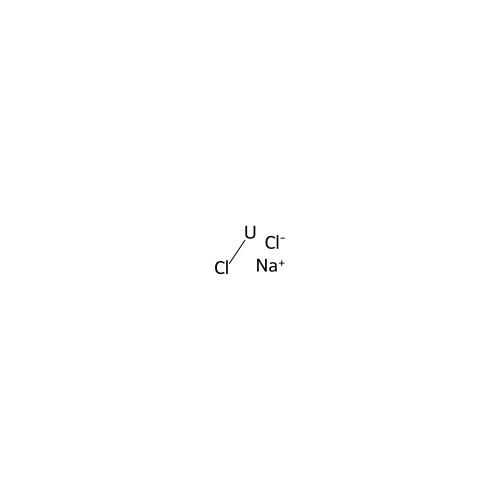 [Cl-].[Cl][U].[Na+]